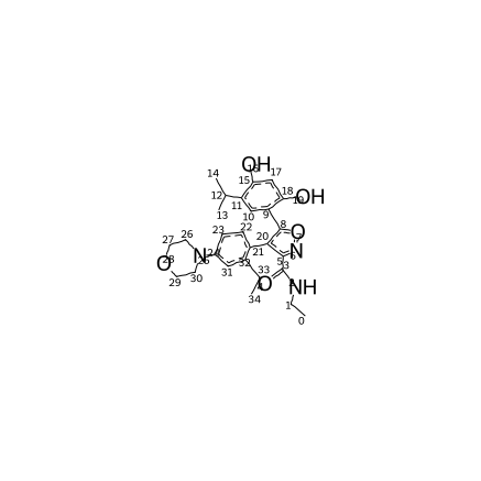 CCNC(=O)c1noc(-c2cc(C(C)C)c(O)cc2O)c1-c1ccc(N2CCOCC2)cc1CC